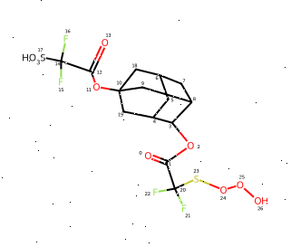 O=C(OC1C2CC3CC1CC(OC(=O)C(F)(F)S(=O)(=O)O)(C3)C2)C(F)(F)SOOO